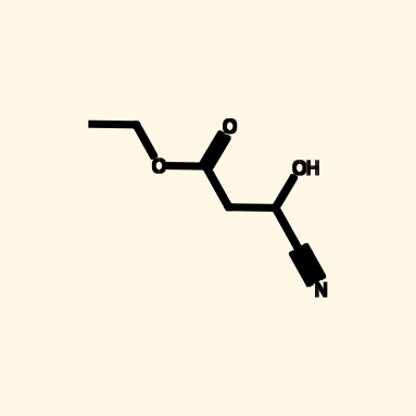 CCOC(=O)CC(O)C#N